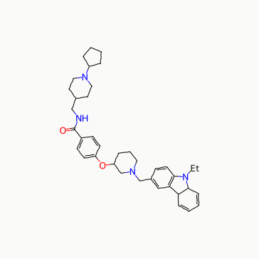 CCN1c2ccc(CN3CCCC(Oc4ccc(C(=O)NCC5CCN(C6CCCC6)CC5)cc4)C3)cc2C2C=CC=CC21